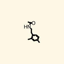 CC(=O)NCCc1ccc(C)cc1C